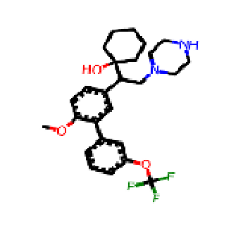 COc1ccc(C(CN2CCNCC2)C2(O)CCCCC2)cc1-c1cccc(OC(F)(F)F)c1